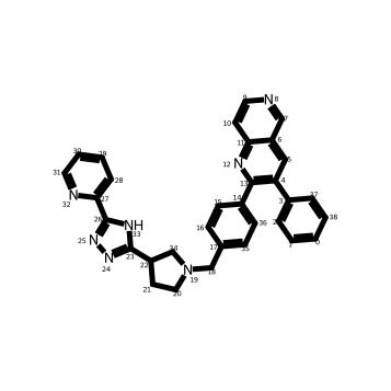 c1ccc(-c2cc3cnccc3nc2-c2ccc(CN3CCC(c4nnc(-c5ccccn5)[nH]4)C3)cc2)cc1